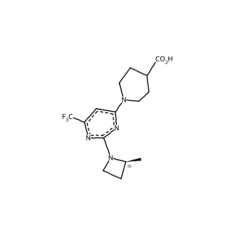 C[C@H]1CCN1c1nc(N2CCC(C(=O)O)CC2)cc(C(F)(F)F)n1